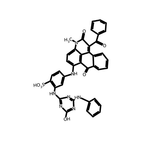 Cn1c(=O)c(C(=O)c2ccccc2)c2c3c(c(Nc4ccc(S(=O)(=O)O)c(Nc5nc(O)nc(Nc6ccccc6)n5)c4)ccc31)C(=O)c1ccccc1-2